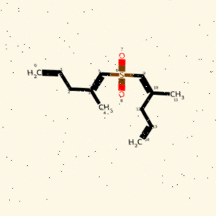 C=CCC(C)=CS(=O)(=O)C=C(C)CC=C